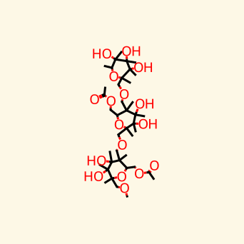 COCC1(C)OC(COC(C)=O)C(C)(COCC2(C)OC(COC(C)=O)C(C)(COCC3(C)OC(C)C(C)(O)C(C)(O)C3(C)O)C(C)(O)C2(C)O)C(C)(O)C1(C)O